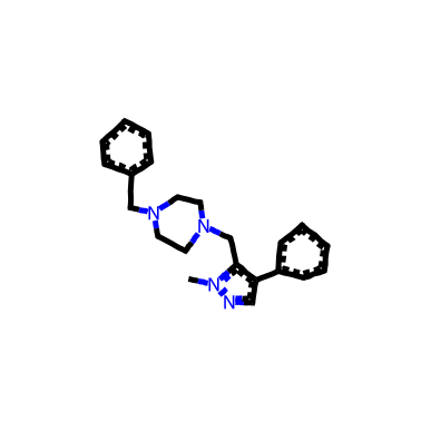 Cn1ncc(-c2ccccc2)c1CN1CCN(Cc2ccccc2)CC1